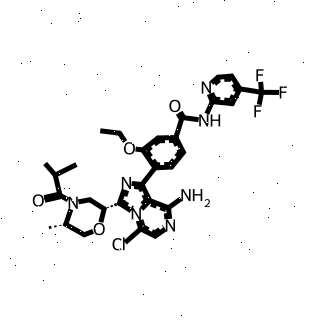 CCOc1cc(C(=O)Nc2cc(C(F)(F)F)ccn2)ccc1-c1nc([C@H]2CN(C(=O)C(C)C)[C@@H](C)CO2)n2c(Cl)cnc(N)c12